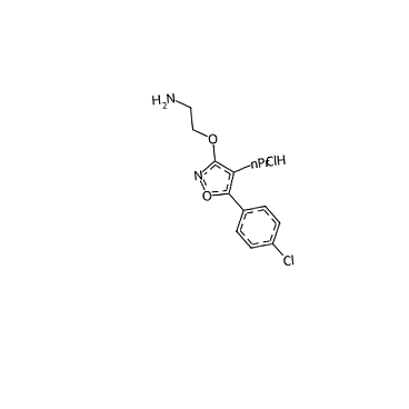 CCCc1c(OCCN)noc1-c1ccc(Cl)cc1.Cl